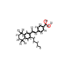 CCCCCc1cc2c(cc1C(C)=Cc1ccc(C(=O)OC)cc1)C(C)(C)CCC2(C)C